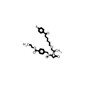 C=CCOC(=O)c1ccc(C[S+]([O-])C2CC(=O)N2C(C)COCCCCCC(=O)c2ccc(F)cc2)cc1